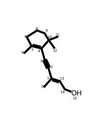 CC(C#CC1=C(C)CCCC1(C)C)=CCO